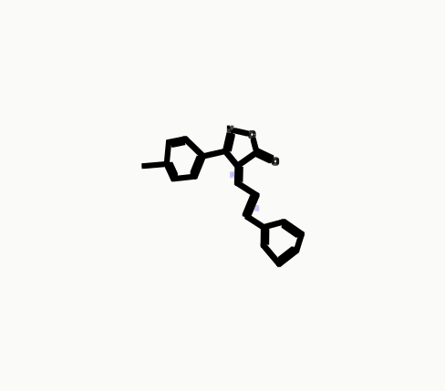 Cc1ccc(C2=NOC(=O)/C2=C\C=C\c2ccccc2)cc1